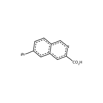 CC(C)c1ccc2cnc(C(=O)O)cc2c1